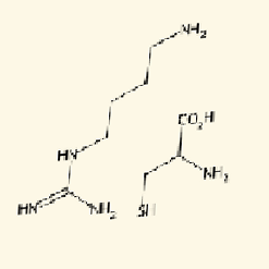 N=C(N)NCCCCN.NC(CS)C(=O)O